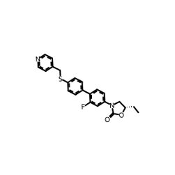 CC[C@H]1CN(c2ccc(-c3ccc(SCc4ccncc4)cc3)c(F)c2)C(=O)O1